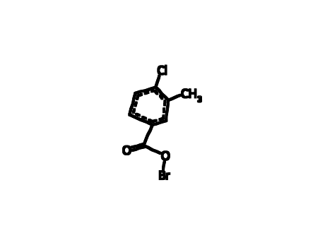 Cc1cc(C(=O)OBr)ccc1Cl